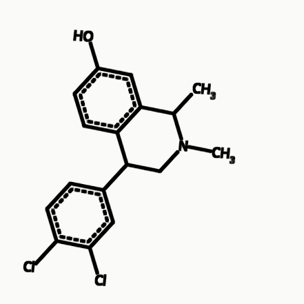 CC1c2cc(O)ccc2C(c2ccc(Cl)c(Cl)c2)CN1C